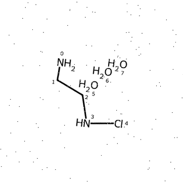 NCCNCl.O.O.O